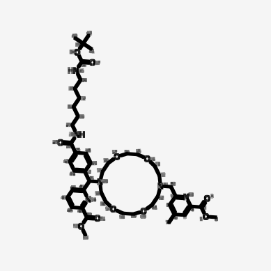 COC(=O)c1cc(C)cc(CN2CCOCCOCCN(C(c3ccc(C(=O)NCCCCCCNC(=O)OC(C)(C)C)cc3)c3cccc(C(=O)OC)n3)CCOCCOCC2)n1